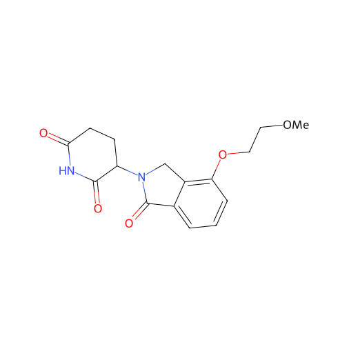 COCCOc1cccc2c1CN(C1CCC(=O)NC1=O)C2=O